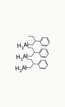 CCC([CH2][AlH2])c1ccccc1.CCC([CH2][AlH2])c1ccccc1.CCC([CH2][AlH2])c1ccccc1